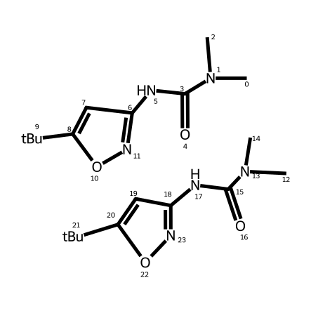 CN(C)C(=O)Nc1cc(C(C)(C)C)on1.CN(C)C(=O)Nc1cc(C(C)(C)C)on1